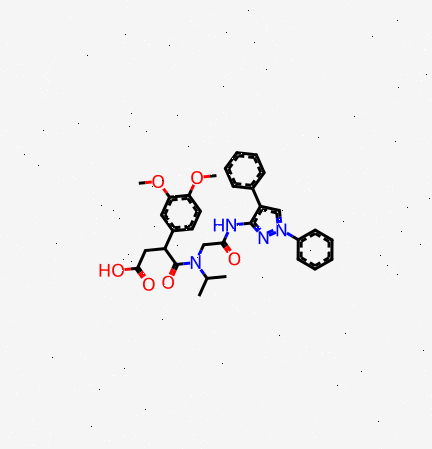 COc1ccc(C(CC(=O)O)C(=O)N(CC(=O)Nc2nn(-c3ccccc3)cc2-c2ccccc2)C(C)C)cc1OC